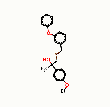 CCOc1ccc(C(O)(CSCc2cccc(Oc3ccccc3)c2)C(F)(F)F)cc1